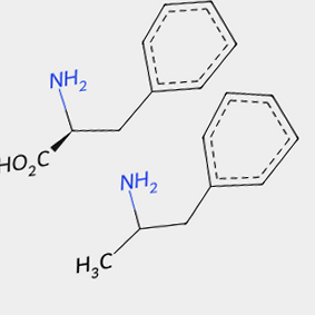 CC(N)Cc1ccccc1.N[C@@H](Cc1ccccc1)C(=O)O